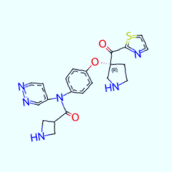 O=C(C1CNC1)N(c1ccc(O[C@]2(C(=O)c3nccs3)CCNC2)cc1)c1ccnnc1